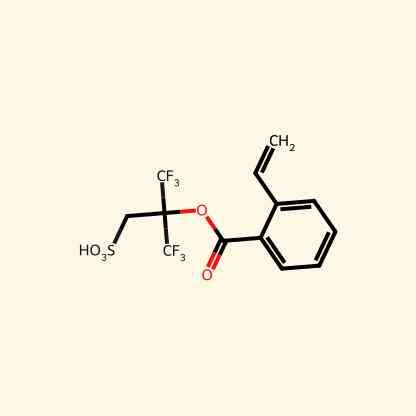 C=Cc1ccccc1C(=O)OC(CS(=O)(=O)O)(C(F)(F)F)C(F)(F)F